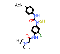 CC(=O)Nc1ccc(NC(=O)N(S)c2ccc(NC(=O)CN(C)C)c(Cl)c2)cc1